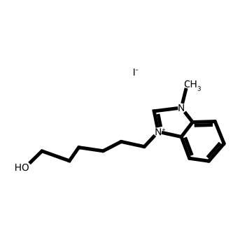 Cn1c[n+](CCCCCCO)c2ccccc21.[I-]